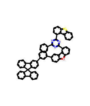 c1ccc(-c2nc(-c3cccc4oc5ccc(-c6cccc(-c7ccc8c(c7)-c7ccccc7C87c8ccccc8-c8ccccc87)c6)cc5c34)nc(-c3cccc4sc5ccccc5c34)n2)cc1